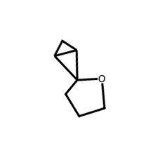 C1COC2(C1)C1CC12